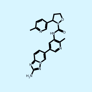 Cc1ccc(C2CCON2C(=O)Nc2cc(-c3ccc4nc(N)nn4c3)cnc2C)cn1